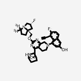 [2H]C1([2H])CC[C@@]2(COc3nc4c(c(N5CC6CCC5CN6)n3)CCN(c3cc(O)cc5ccc(F)c(C#C)c35)C4)C[C@@H](F)CN12